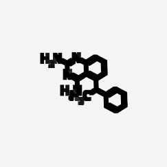 CC(c1ccccc1)c1cccc2nc(N)nc(N)c12